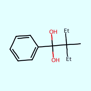 CCC(C)(CC)C(O)(O)c1ccccc1